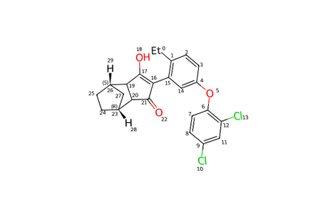 CCc1ccc(Oc2ccc(Cl)cc2Cl)cc1C1=C(O)C2C(C1=O)[C@@H]1CC[C@H]2C1